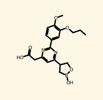 CCCOc1cc(-c2nc(CC(=O)O)cc(C3COB(O)C3)n2)ccc1OC